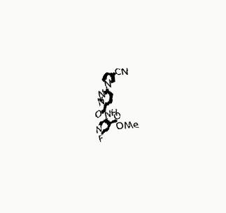 COC(=O)c1cc(F)ncc1NC(=O)c1ccc(-n2ccc(C#N)c2)nn1